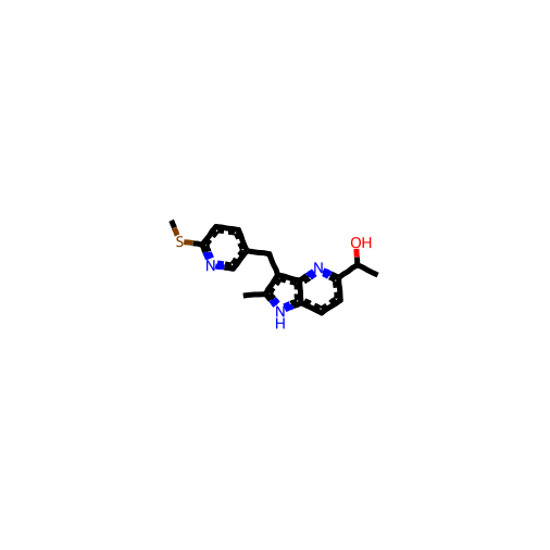 CSc1ccc(Cc2c(C)[nH]c3ccc(C(C)O)nc23)cn1